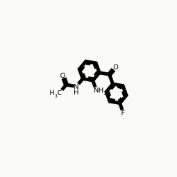 CC(=O)Nc1cccc(C(=O)c2ccc(F)cc2)c1N